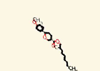 CCCCCCCC1COC([C@H]2CC[C@H](c3ccc(OC)cc3)OC2)OC1